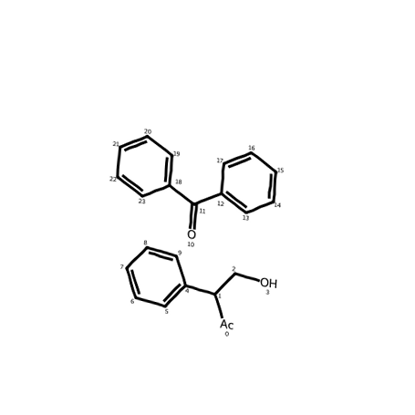 CC(=O)C(CO)c1ccccc1.O=C(c1ccccc1)c1ccccc1